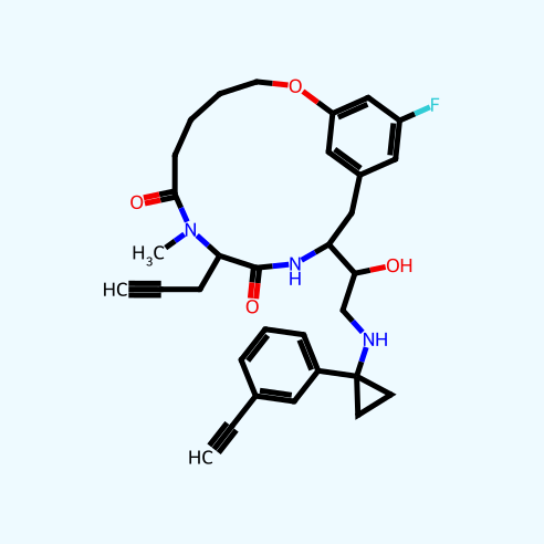 C#CCC1C(=O)NC(C(O)CNC2(c3cccc(C#C)c3)CC2)Cc2cc(F)cc(c2)OCCCCC(=O)N1C